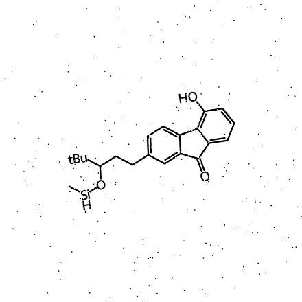 C[SiH](C)OC(CCc1ccc2c(c1)C(=O)c1cccc(O)c1-2)C(C)(C)C